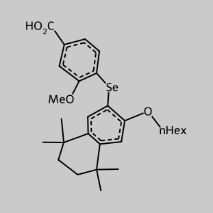 CCCCCCOc1cc2c(cc1[Se]c1ccc(C(=O)O)cc1OC)C(C)(C)CCC2(C)C